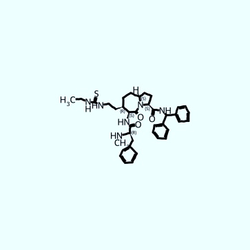 CCNC(=S)NCC[C@H]1CC[C@H]2CC[C@@H](C(=O)NC(c3ccccc3)c3ccccc3)N2C(=O)[C@H]1NC(=O)[C@@H](Cc1ccccc1)NC